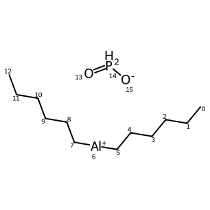 CCCCC[CH2][Al+][CH2]CCCCC.O=[PH2][O-]